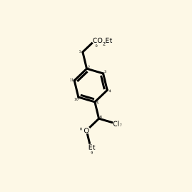 CCOC(=O)Cc1ccc(C(Cl)OCC)cc1